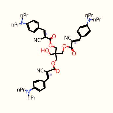 CCCN(CCC)c1ccc(/C=C(\C#N)C(=O)OCC(CO)(COC(=O)/C(C#N)=C/c2ccc(N(CCC)CCC)cc2)COC(=O)/C(C#N)=C/c2ccc(N(CCC)CCC)cc2)cc1